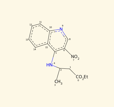 CCOC(=O)CC(C)Nc1c([N+](=O)[O-])cnc2ccccc12